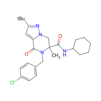 CC(C)(C)c1cc2n(n1)CC(C)(C(=O)NC1CCCCC1)N(Cc1ccc(Cl)cc1)C2=O